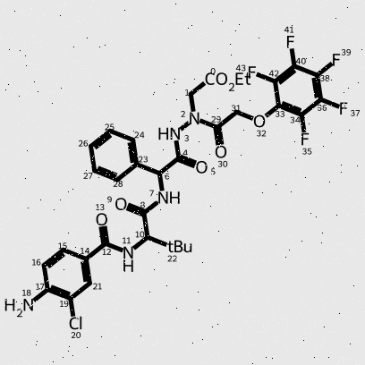 CCOC(=O)CN(NC(=O)C(NC(=O)C(NC(=O)c1ccc(N)c(Cl)c1)C(C)(C)C)c1ccccc1)C(=O)COc1c(F)c(F)c(F)c(F)c1F